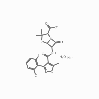 Cc1onc(-c2c(F)cccc2Cl)c1C(=O)NC1C(=O)N2C1SC(C)(C)C2C(=O)[O-].O.[Na+]